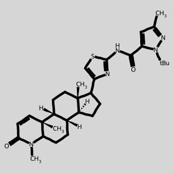 Cc1cc(C(=O)Nc2nc(C3CC[C@H]4[C@@H]5CCC6N(C)C(=O)C=C[C@]6(C)[C@@H]5CC[C@]34C)cs2)n(C(C)(C)C)n1